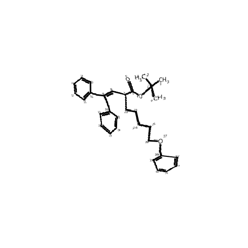 CC(C)(C)OC(=O)C(C=C(c1ccccc1)c1ccccc1)CCCCCOc1ccccc1